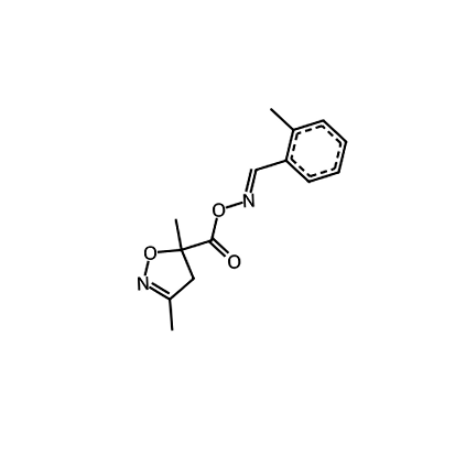 CC1=NOC(C)(C(=O)O/N=C/c2ccccc2C)C1